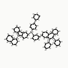 c1ccc(-c2ccc(N(c3cccc(-c4ccc5c(c4)c(-c4ccccc4)c(-c4ccccc4)c4ccccc45)c3)c3ccc4c(c3)c3ccccc3n4-c3cccc4ccccc34)cc2)cc1